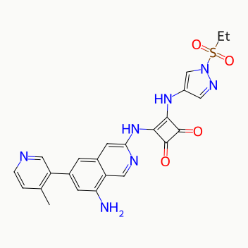 CCS(=O)(=O)n1cc(Nc2c(Nc3cc4cc(-c5cnccc5C)cc(N)c4cn3)c(=O)c2=O)cn1